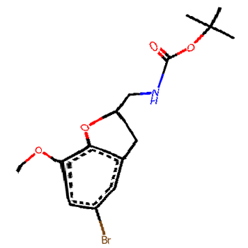 COc1cc(Br)cc2c1OC(CNC(=O)OC(C)(C)C)C2